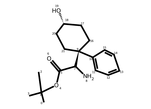 CC(C)(C)OC(=O)C(N)[C@]1(c2ccccc2)CC[C@@H](O)CC1